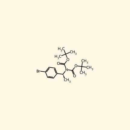 C[C@@H](c1ccc(Br)cc1)N(C(=O)OC(C)(C)C)C(=O)OC(C)(C)C